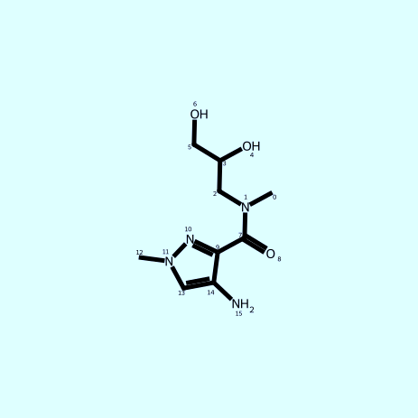 CN(CC(O)CO)C(=O)c1nn(C)cc1N